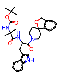 CC(C)(C)OC(=O)NC(C)(C)C(=O)N[C@H](Cc1c[nH]c2ccccc12)C(=O)N1CCC2(CC1)OCc1ccccc12